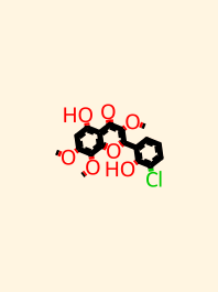 COc1cc(O)c2c(=O)c(OC)c(-c3cccc(Cl)c3O)oc2c1OC